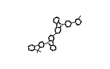 Cc1cccc(-c2ccc(-n3c4ccccc4c4cc(-c5ccc6c(c5)c5ccccc5n6-c5ccc6c(c5)C(C)(C)c5ccccc5-6)ccc43)cc2)c1